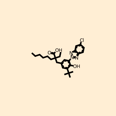 CCCCCCC(CC)(Cc1cc(-n2nc3ccc(Cl)cc3n2)c(O)c(C(C)(C)C)c1)C(=O)O